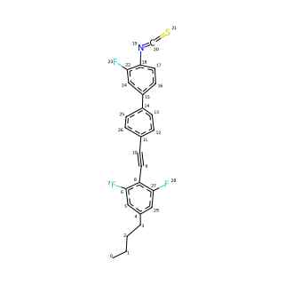 CCCCc1cc(F)c(C#Cc2ccc(-c3ccc(N=C=S)c(F)c3)cc2)c(F)c1